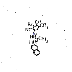 C=C(CNc1ccc2ccccc2c1)N/N=C/c1cc(C)c(C)c(Br)c1C#N